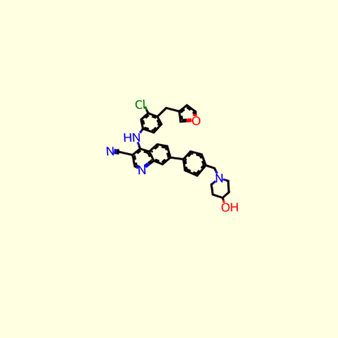 N#Cc1cnc2cc(-c3ccc(CN4CCC(O)CC4)cc3)ccc2c1Nc1ccc(Cc2ccoc2)c(Cl)c1